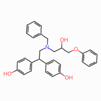 Oc1ccc(C(CN(Cc2ccccc2)CC(O)COc2ccccc2)c2ccc(O)cc2)cc1